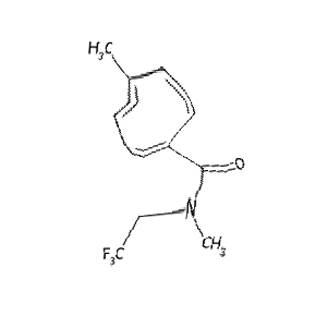 Cc1ccc(C(=O)N(C)CC(F)(F)F)cc1